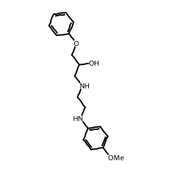 COc1ccc(NCCNCC(O)COc2ccccc2)cc1